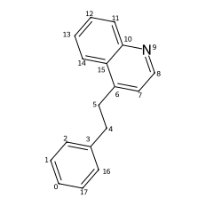 c1ccc(CCc2ccnc3ccccc23)cc1